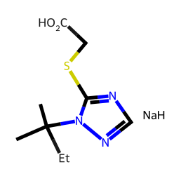 CCC(C)(C)n1ncnc1SCC(=O)O.[NaH]